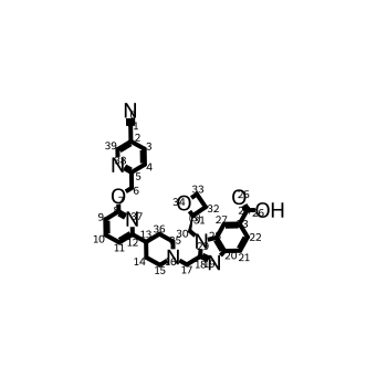 N#Cc1ccc(COc2cccc(C3CCN(Cc4nc5ccc(C(=O)O)cc5n4C[C@@H]4CCO4)CC3)n2)nc1